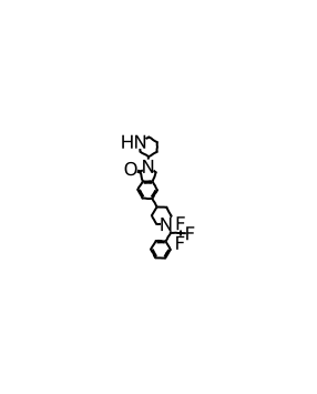 O=C1c2ccc(C3CCN(C(c4ccccc4)C(F)(F)F)CC3)cc2CN1C1CCCNC1